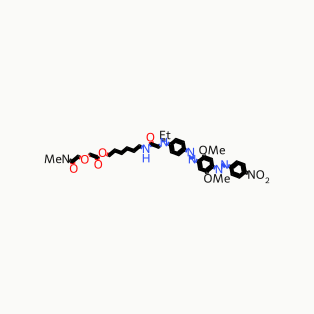 CCN(CC(=O)NCCCCCCOC(=O)COCC(=O)NC)c1ccc(N=Nc2cc(OC)c(N=Nc3ccc([N+](=O)[O-])cc3)cc2OC)cc1